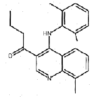 CCCC(=O)c1cnc2c(C)cccc2c1Nc1c(C)cccc1C